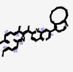 C=C(C)/C=C\C=C(/C)C(/N=C(C)/C=C\C=C/C)=C(C)c1ccc(=C)/c(=C\C(=C/C)C2=C3C=C(CCCCCCC3)N=CC2)n1